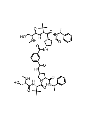 CN[C@@H](CO)C(=O)N[C@H](C(=O)N1C[C@@H](NC(=O)c2cccc(C(=O)N[C@H]3C[C@@H](C(=O)N[C@H](C)c4ccccc4)N(C(=O)[C@@H](NC(=O)[C@H](CO)NC)C(C)(C)C)C3)c2)C[C@H]1C(=O)N[C@H](C)c1ccccc1)C(C)(C)C